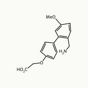 COc1ccc(CN)c(-c2ccc(OCC(=O)O)cc2)c1